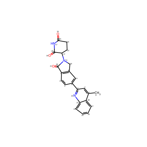 Cc1cc(-c2ccc3c(c2)CN(C2CCC(=O)NC2=O)C3=O)nc2ccccc12